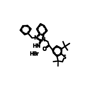 Br.CC(C)(C)c1cc(C(=O)Cn2c(=N)n(Cc3ccccc3)c3ccccc32)cc2c1SCC2(C)C